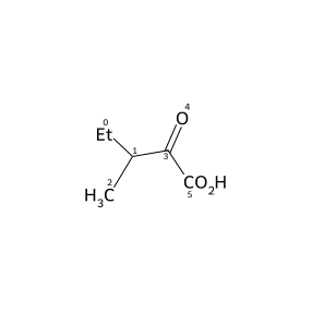 CCC(C)C(=O)C(=O)O